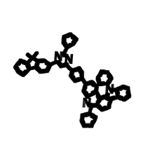 CC1(C)c2ccccc2-c2ccc(-c3cc(-c4ccc(-c5ccc6c(c5)nc(-c5ccccc5)c5ccc7c8ccccc8n(-c8ccccc8)c7c56)cc4)nc(-c4ccccc4)n3)cc21